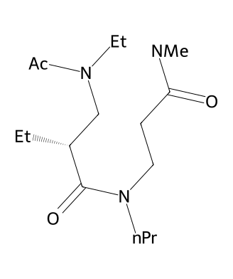 CCCN(CCC(=O)NC)C(=O)[C@H](CC)CN(CC)C(C)=O